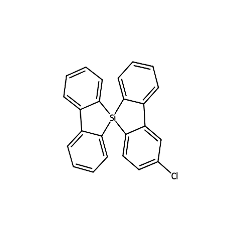 Clc1ccc2c(c1)-c1ccccc1[Si]21c2ccccc2-c2ccccc21